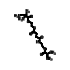 C=C(C)C(=O)OCCNC(=O)CCC(=O)OCCOC(=O)C(C)(C)CC